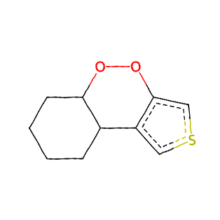 c1scc2c1OOC1CCCCC21